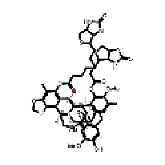 COc1cc2c(cc1O)CCN[C@]21CS[C@@H]2c3c(OC(=O)CCCCC4SCC5NC(=O)NC54)c(C)c4c(c3[C@H](COC1=O)N1C2[C@H]2c3c(cc(C)c(OC)c3OC(=O)CCCCC3SCC5NC(=O)NC53)C3[C@@H]([C@@H]1C#N)N32)OCO4